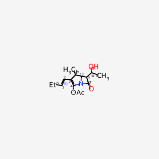 CC/C=C/C1=C(OC(C)=O)N2C(=O)C(C(C)O)C2C1C